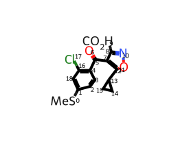 CSc1ccc(C(=O)c2c(C(=O)O)noc2C2CC2)c(Cl)c1